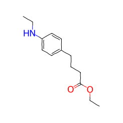 CCNc1ccc(CCCC(=O)OCC)cc1